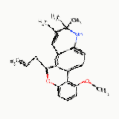 C=CCC1Oc2cccc(OC)c2-c2ccc3c(c21)C=C(C)C(C)(C)N3